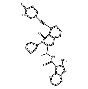 CC(NC(=O)c1c(N)nn2cccnc12)c1cc2cccc(C#Cc3ccc(=O)[nH]c3)c2c(=O)n1-c1ccccc1